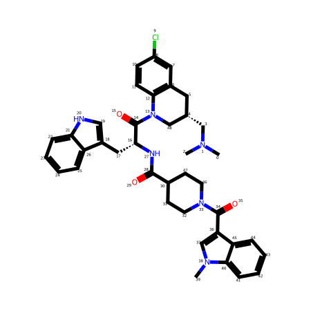 CN(C)C[C@H]1Cc2cc(Cl)ccc2N(C(=O)[C@@H](Cc2c[nH]c3ccccc23)NC(=O)C2CCN(C(=O)c3cn(C)c4ccccc34)CC2)C1